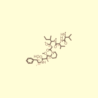 CCC(C)C([C@@H](CC(=O)N1CCCC[C@H]1[C@H](OC)[C@@H](C)C(=O)N[C@H](C)[C@@H](O)c1ccccc1)OC)N(C)C(=O)[C@@H](NC(=O)C(NC)C(C)C)C(C)C